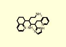 NCCC(C1CCCc2cccnc21)C(N)C(Cc1ccccn1)c1ncc[nH]1